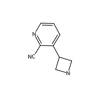 N#Cc1ncccc1C1C[N]C1